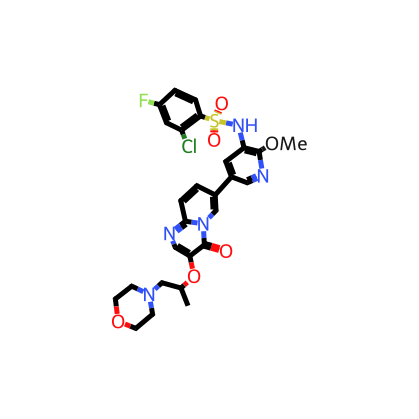 COc1ncc(-c2ccc3ncc(OC(C)CN4CCOCC4)c(=O)n3c2)cc1NS(=O)(=O)c1ccc(F)cc1Cl